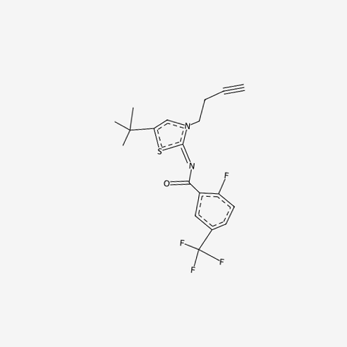 C#CCCn1cc(C(C)(C)C)sc1=NC(=O)c1cc(C(F)(F)F)ccc1F